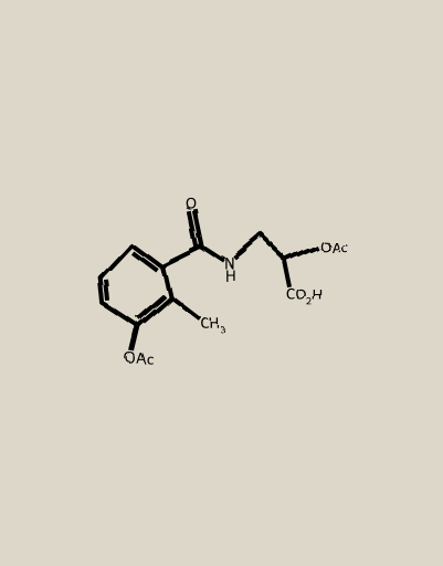 CC(=O)Oc1cccc(C(=O)NCC(OC(C)=O)C(=O)O)c1C